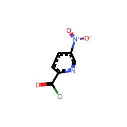 O=C(Cl)c1ccc([N+](=O)[O-])cn1